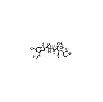 COc1cc(Cl)cc2[nH]c(C(=O)NCC(=O)N(C(C#N)C[C@@H]3CCCNC3=O)C(C)(C)C)cc12